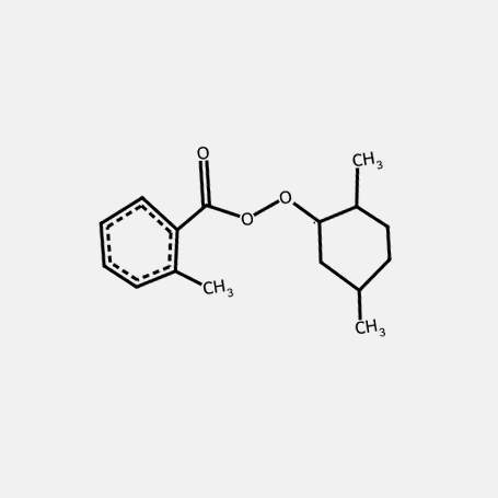 Cc1ccccc1C(=O)OO[C]1CC(C)CCC1C